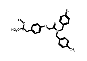 CCO[C@@H](Cc1ccc(OCC(=O)N(Cc2ccc(C)cc2)Cc2ccc(CC)cc2)cc1)C(=O)O